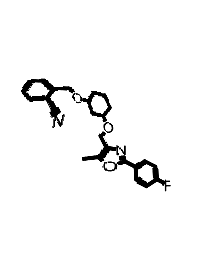 Cc1oc(-c2ccc(F)cc2)nc1COC1CCCC(OCc2ccccc2C#N)C1